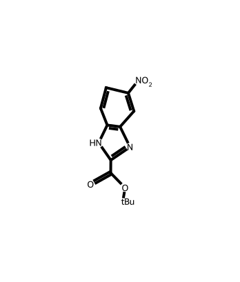 CC(C)(C)OC(=O)c1nc2cc([N+](=O)[O-])ccc2[nH]1